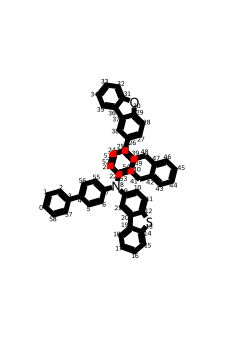 c1ccc(-c2ccc(N(c3ccc4sc5ccccc5c4c3)c3ccc(-c4ccc5oc6ccccc6c5c4)c4c3C3c5ccccc5C4c4ccccc43)cc2)cc1